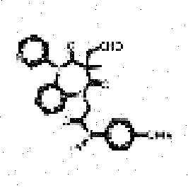 COc1ccc(N(C(=O)CN2C(=O)C(C)(CC=O)C(=O)N(c3cccnc3)c3ccccc32)C(C)C)cc1